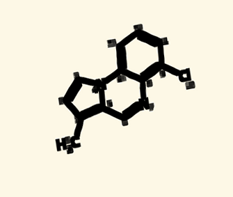 Cc1ccn2c1cnc1c(Cl)cccc12